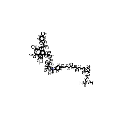 CNC(=N)CCCSC1CC(=O)N(CCCC(=O)CCC(=O)CCCOc2ccc(/C(C)=N/N(C)C(=O)C(C)(C)C(=O)N(C)CCN(C)C(=O)OC3=CC4C(c5c3[nH]c(C)c5C(=O)OC)C(CCl)CN4C(=O)c3cc4cc(OC)ccc4o3)cc2)C1=O